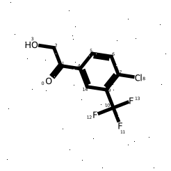 O=C(CO)c1ccc(Cl)c(C(F)(F)F)c1